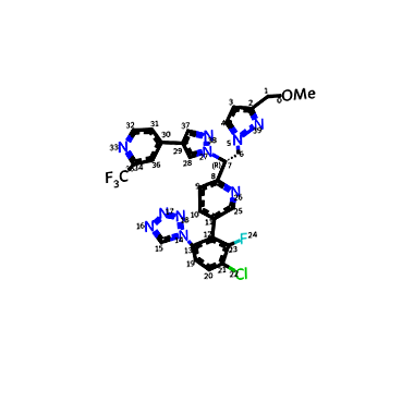 COCc1ccn(C[C@H](c2ccc(-c3c(-n4cnnn4)ccc(Cl)c3F)cn2)n2cc(-c3ccnc(C(F)(F)F)c3)cn2)n1